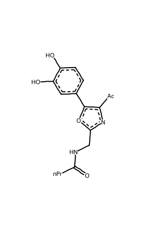 CCCC(=O)NCc1nc(C(C)=O)c(-c2ccc(O)c(O)c2)o1